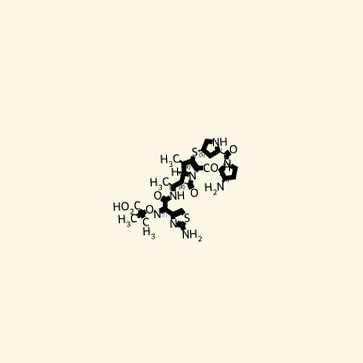 C[C@@H](NC(=O)/C(=N\OC(C)(C)C(=O)O)c1csc(N)n1)[C@H]1C(=O)N2C(C(=O)O)=C(S[C@@H]3CN[C@H](C(=O)N4CC[C@@H](N)C4)C3)[C@H](C)[C@H]12